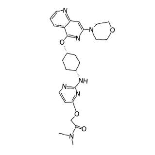 CN(C)C(=O)COc1ccnc(N[C@H]2CC[C@@H](Oc3nc(N4CCOCC4)cc4ncccc34)CC2)n1